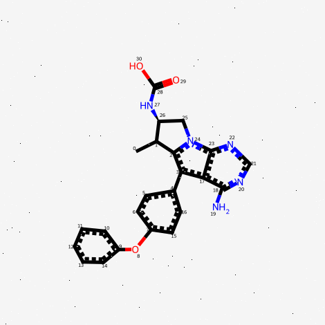 CC1c2c(-c3ccc(Oc4ccccc4)cc3)c3c(N)ncnc3n2C[C@@H]1NC(=O)O